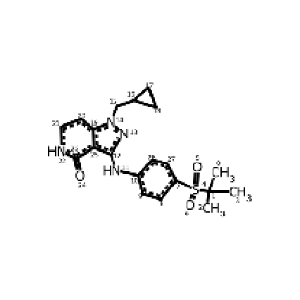 CC(C)(C)S(=O)(=O)c1ccc(Nc2nn(CC3CC3)c3cc[nH]c(=O)c23)cc1